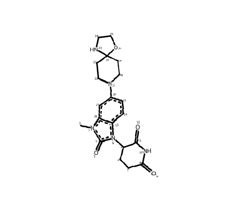 Cn1c(=O)n(C2CCC(=O)NC2=O)c2ccc(N3CCC4(CC3)NCCO4)cc21